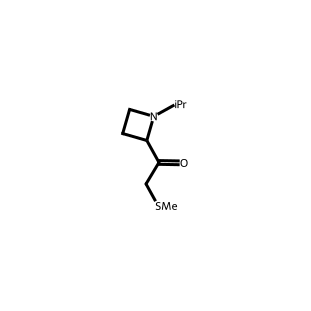 CSCC(=O)C1CCN1C(C)C